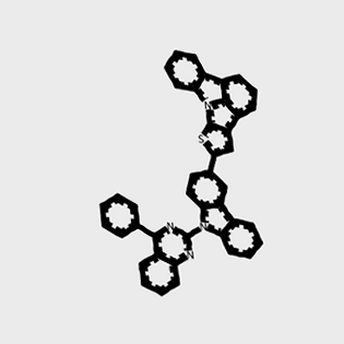 c1ccc(-c2nc(-n3c4ccccc4c4cc(-c5cc6c7cccc8c9ccccc9n(c6s5)c87)ccc43)nc3ccccc23)cc1